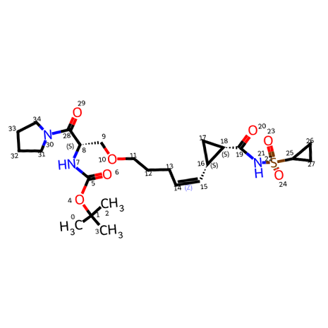 CC(C)(C)OC(=O)N[C@@H](COCCC/C=C\[C@@H]1C[C@@H]1C(=O)NS(=O)(=O)C1CC1)C(=O)N1CCCC1